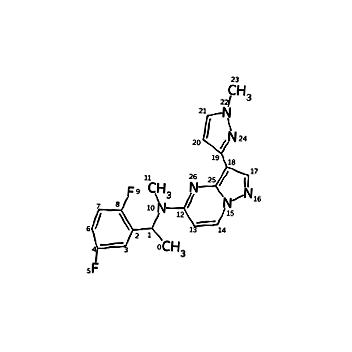 CC(c1cc(F)ccc1F)N(C)c1ccn2ncc(-c3ccn(C)n3)c2n1